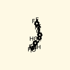 O=S(=O)(Nc1cccc(C[C@H]2Cc3ccc(OCc4nc5cc(F)c(F)cc5s4)cc3[C@H]2O)c1)C(F)(F)F